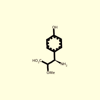 COC(C(=O)O)[C@H](N)c1ccc(O)cc1